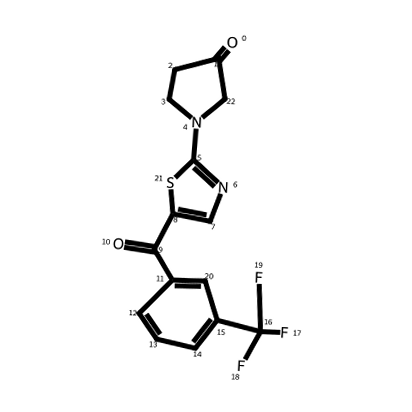 O=C1CCN(c2ncc(C(=O)c3cccc(C(F)(F)F)c3)s2)C1